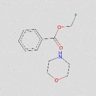 C1COCCN1.O=C(OCF)c1ccccc1